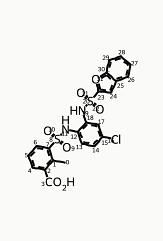 Cc1c(C(=O)O)cccc1S(=O)(=O)Nc1ccc(Cl)cc1NS(=O)(=O)c1cc2ccccc2o1